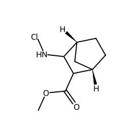 COC(=O)C1C(NCl)[C@@H]2CC[C@H]1C2